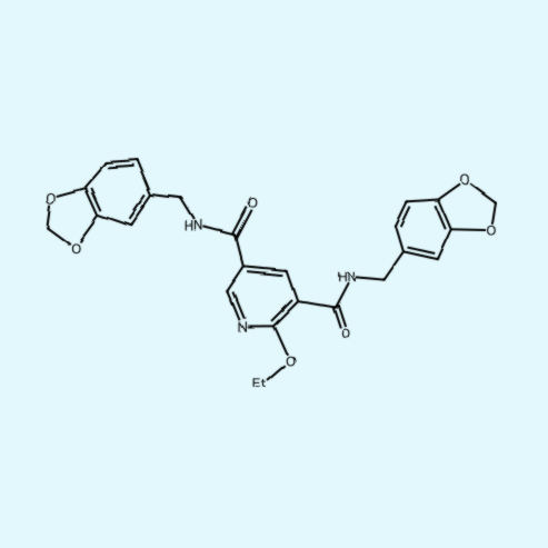 CCOc1ncc(C(=O)NCc2ccc3c(c2)OCO3)cc1C(=O)NCc1ccc2c(c1)OCO2